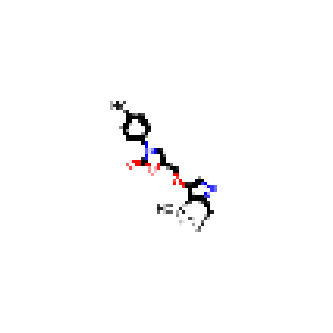 N#Cc1ccc(N2CC(COc3c[nH]c(CC(=O)O)c3C(=O)O)OC2=O)cc1